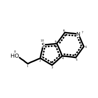 OCc1cc2ccncc2s1